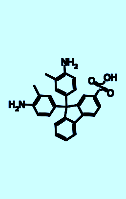 Cc1cc(C2(c3ccc(N)c(C)c3)c3ccccc3-c3ccc(S(=O)(=O)O)cc32)ccc1N